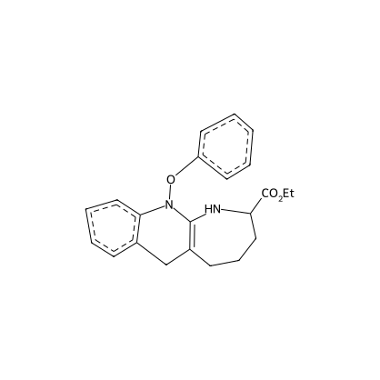 CCOC(=O)C1CCCC2=C(N1)N(Oc1ccccc1)c1ccccc1C2